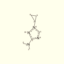 CN(C)c1ncn(C2CC2)n1